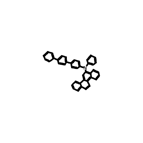 c1ccc(-c2ccc(-c3ccc(N(c4ccccc4)c4cc5c6ccccc6ccc5c5ccccc45)cc3)cc2)cc1